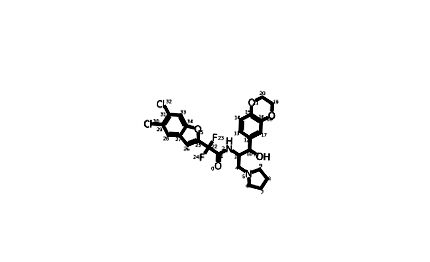 O=C(NC(CN1CCCC1)C(O)c1ccc2c(c1)OCCO2)C(F)(F)c1cc2cc(Cl)c(Cl)cc2o1